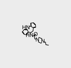 CCCN1CCN(CC(=O)NC2Cc3ccccc3Nc3ccccc32)CC1